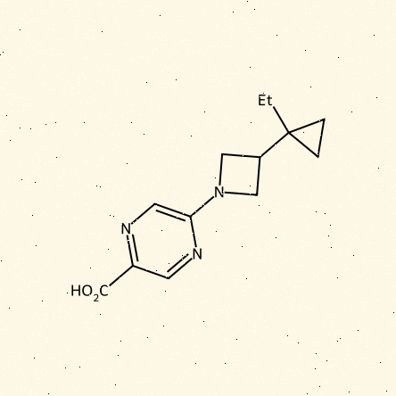 CCC1(C2CN(c3cnc(C(=O)O)cn3)C2)CC1